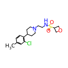 Cc1ccc(C2CCN(CCNS(=O)(=O)C3COC3)CC2)c(Cl)c1